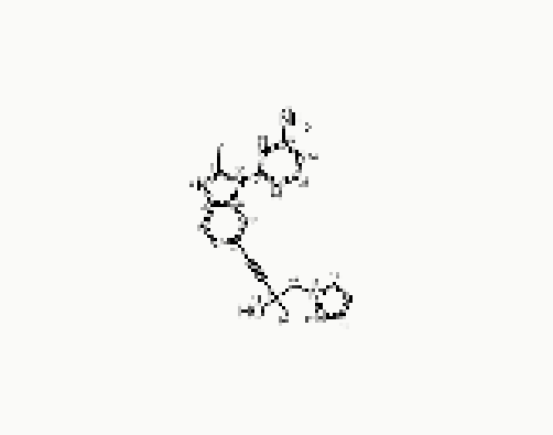 Cc1nc2ccc(C#CC(C)(O)Cn3cccn3)cc2n1-c1ncnc(N)n1